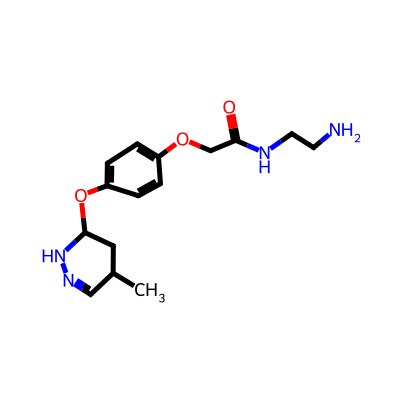 CC1C=NNC(Oc2ccc(OCC(=O)NCCN)cc2)C1